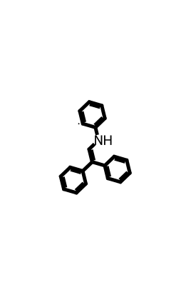 [c]1ccccc1NC=C(c1ccccc1)c1ccccc1